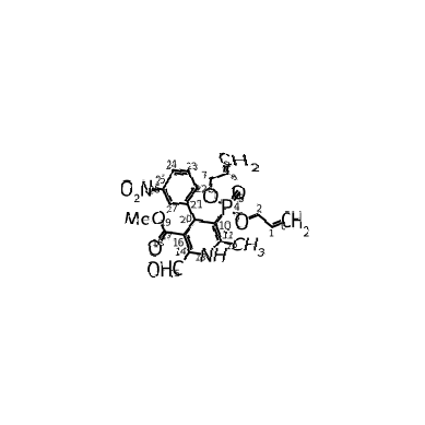 C=CCOP(=O)(OCC=C)C1=C(C)NC(C=O)=C(C(=O)OC)C1c1cccc([N+](=O)[O-])c1